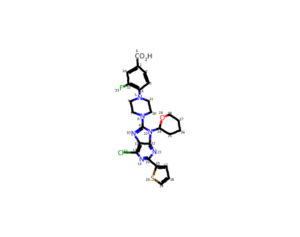 O=C(O)c1ccc(N2CCN(c3nc4c(Cl)nc(-c5cccs5)nc4n3C3CCCCO3)CC2)c(F)c1